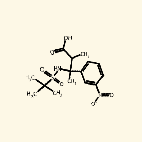 CC(C(=O)O)C(C)(NS(=O)(=O)C(C)(C)C)c1cccc([N+](=O)[O-])c1